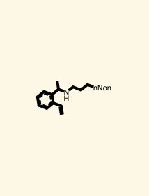 C=Cc1ccccc1C(C)NCCCCCCCCCCCC